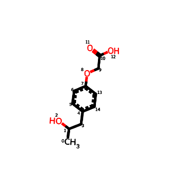 CC(O)Cc1ccc(OCC(=O)O)cc1